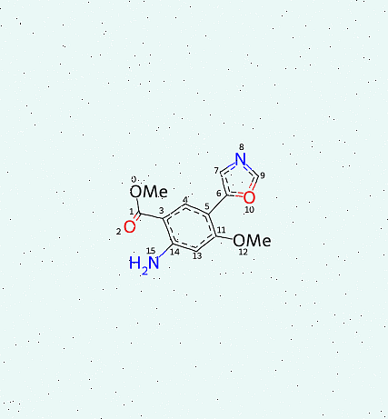 COC(=O)c1cc(-c2cnco2)c(OC)cc1N